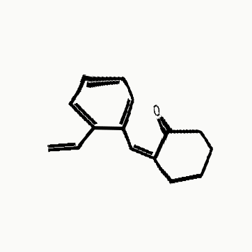 C=Cc1ccccc1C=C1CCCCC1=O